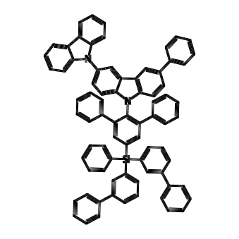 c1ccc(-c2cccc([Si](c3ccccc3)(c3cccc(-c4ccccc4)c3)c3cc(-c4ccccc4)c(-n4c5ccc(-c6ccccc6)cc5c5cc(-n6c7ccccc7c7ccccc76)ccc54)c(-c4ccccc4)c3)c2)cc1